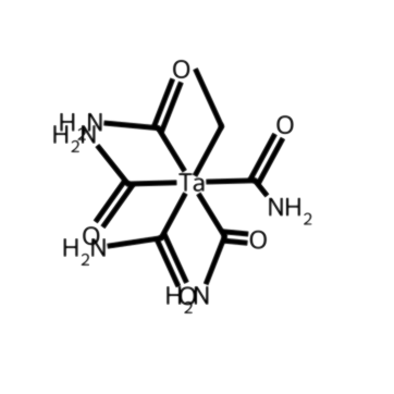 C[CH2][Ta]([C](N)=O)([C](N)=O)([C](N)=O)([C](N)=O)[C](N)=O